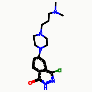 CN(C)CCCN1CCN(c2ccc3c(=O)[nH]nc(Cl)c3c2)CC1